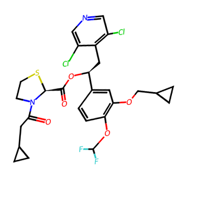 O=C(O[C@@H](Cc1c(Cl)cncc1Cl)c1ccc(OC(F)F)c(OCC2CC2)c1)[C@@H]1SCCN1C(=O)CC1CC1